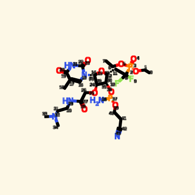 CCOP(=O)(OCC)C(F)(F)C[C@H]1O[C@@H](n2cc(C)c(=O)[nH]c2=O)[C@H](OCC(=O)NCCN(C)C)[C@@H]1OP(N)OCCC#N